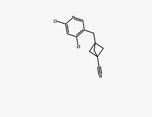 N#CC12CC(Cc3cnc(Cl)cc3Cl)(C1)C2